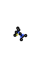 c1ccc(-c2cc(-c3ccccc3)nc(-c3ccc(-n4c5ccc6ccccc6c5c5ccc6c7ccccc7sc6c54)cc3)n2)cc1